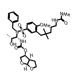 CNC(=O)NCCCC(C)(C)Cc1cc(S(=O)(=O)N(Cc2ccccc2)[C@H](NC(=O)O[C@@H]2CO[C@@H]3OCC[C@@H]32)[C@@H](C)O)ccc1OC